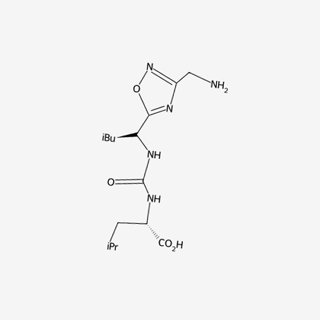 CC[C@H](C)C(NC(=O)N[C@@H](CC(C)C)C(=O)O)c1nc(CN)no1